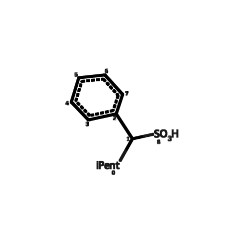 CCCC(C)C(c1ccccc1)S(=O)(=O)O